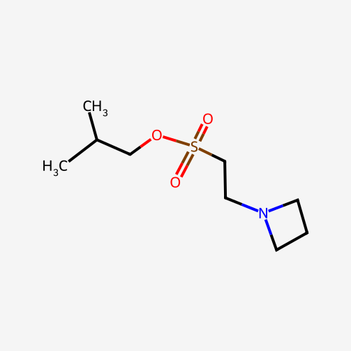 CC(C)COS(=O)(=O)CCN1CCC1